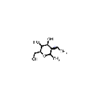 C/C=C1\C(C)OC(CO)C(O)C1O